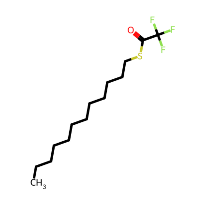 CCCCCCCCCCCCSC(=O)C(F)(F)F